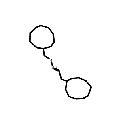 C(/CC1CCCCCCCCC1)=N\OCC1CCCCCCCCC1